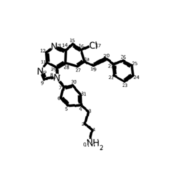 NCCCc1ccc(-n2cnc3cnc4cc(Cl)c(/C=C/c5ccccc5)cc4c32)cc1